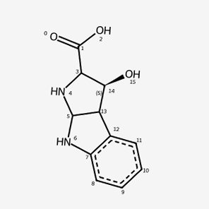 O=C(O)C1NC2Nc3ccccc3C2[C@@H]1O